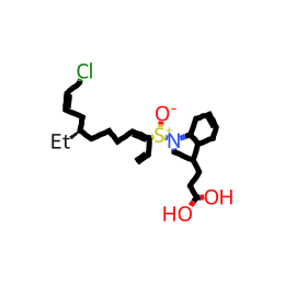 C=C/C(=C\CCC[C@@H](CC)C/C=C\CCl)[S+]([O-])N1CC(CCC(O)O)C2CC=CCC21